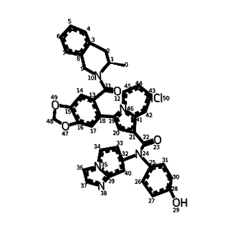 C[C@@H]1Cc2ccccc2CN1C(=O)c1cc2c(cc1-c1cc(C(=O)N(c3ccc(O)cc3)c3ccn4ccnc4c3)c3ccccn13)OCO2.Cl